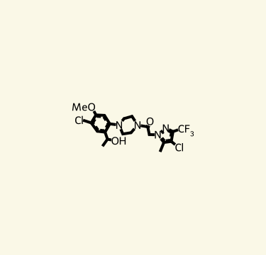 COc1cc(N2CCN(C(=O)Cn3nc(C(F)(F)F)c(Cl)c3C)CC2)c(C(C)O)cc1Cl